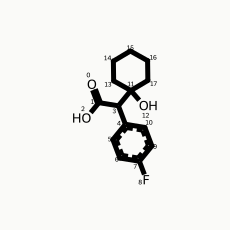 O=C(O)C(c1ccc(F)cc1)C1(O)CCCCC1